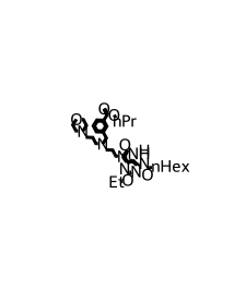 CCCCCCC(=O)Nc1nc(OCC)nc2c1[nH]c(=O)n2CCCN(CCCN1CCOCC1)Cc1cccc(C(=O)OCCC)c1